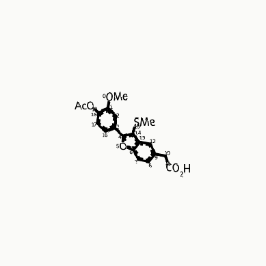 COc1cc(-c2oc3ccc(CC(=O)O)cc3c2SC)ccc1OC(C)=O